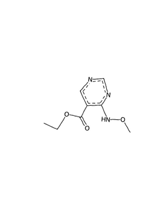 CCOC(=O)c1cncnc1NOC